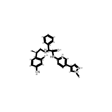 C[C@@H](CNC(C(=O)Nc1ccc(-c2cnn(C)c2)cn1)c1ccccc1)c1ccc(C#N)cc1F